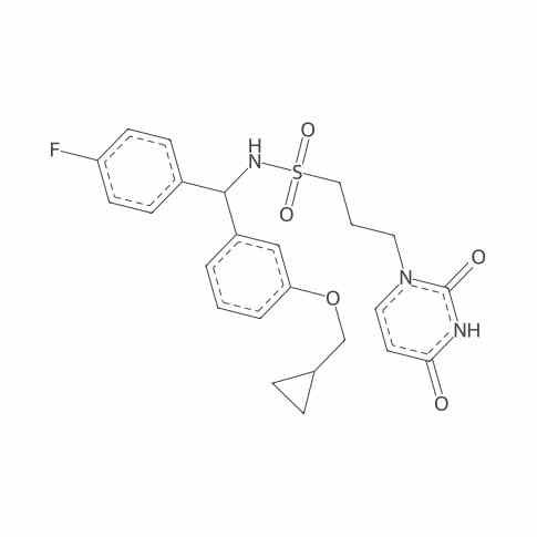 O=c1ccn(CCCS(=O)(=O)NC(c2ccc(F)cc2)c2cccc(OCC3CC3)c2)c(=O)[nH]1